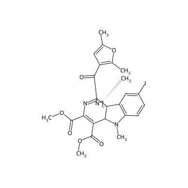 COC(=O)C1=C(C(=O)OC)C2N(C)c3ccc(I)cc3[C@@]23C[C@@H](C)N(C(=O)c2cc(C)oc2C)C3=N1